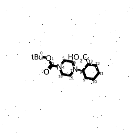 CC(C)(C)OC(=O)N1CCN([C@@H]2CCCC[C@H]2C(=O)O)CC1